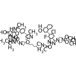 Cc1ncsc1-c1ccc([C@H](C)NC(=O)[C@@H]2C[C@@H](O)CN2C(=O)[C@@H](NC(=O)CN2CC(OCCCC3CCN(C[C@@H](C)Oc4nc(N5CCN(C(=O)OC(C)(C)C)CC5)c5cc(Cl)c(-c6cc(O)cc7ccccc67)c(F)c5n4)CC3)C2)C(C)(C)C)cc1